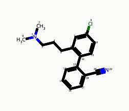 CN(C)CCCc1cc(Cl)ccc1-c1ccccc1C#N